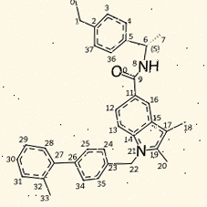 CCc1ccc([C@H](C)NC(=O)c2ccc3c(c2)c(C)c(C)n3Cc2ccc(-c3ccccc3C)cc2)cc1